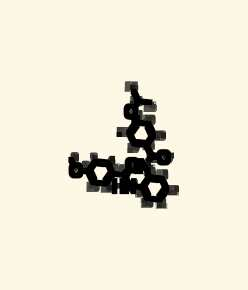 COc1ccc(C(=O)Nc2ccccc2NC(=O)c2ccc(OC(C)C)cc2)cc1